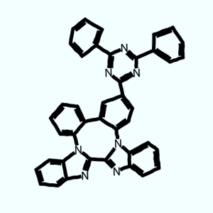 c1ccc(-c2nc(-c3ccccc3)nc(-c3ccc4c(c3)c3ccccc3n3c5ccccc5nc3c3nc5ccccc5n43)n2)cc1